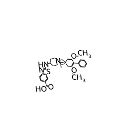 CCOC1=CC(F)(CN2CCC(Nc3nc4ccc(C(=O)O)cc4s3)CC2)CC(OCC)=C1c1ccccc1